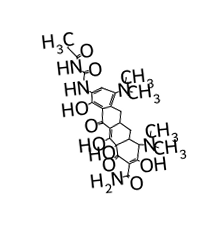 CCC(=O)NC(=O)Nc1cc(N(C)C)c2c(c1O)C(=O)C1=C(O)C3(O)C(=O)C(C(N)=O)=C(O)C(N(C)C)C3CC1C2